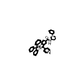 O=C(N[C@@H]1CCCN(c2ccccc2)C1)c1ccc2c(c1)c(-c1ccncc1)nn2C(c1ccccc1)(c1ccccc1)c1ccccc1